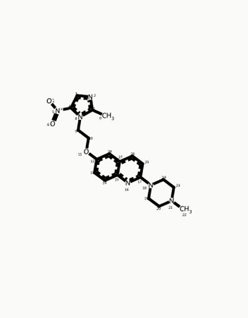 Cc1ncc([N+](=O)[O-])n1CCOc1ccc2nc(N3CCN(C)CC3)ccc2c1